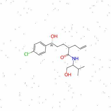 C=CCC(CC[C@@H](O)c1ccc(Cl)cc1)C(=O)NC(CO)C(C)C